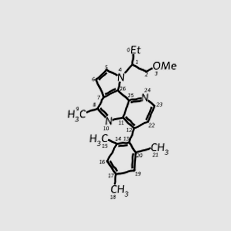 CCC(COC)n1ccc2c(C)nc3c(-c4c(C)cc(C)cc4C)ccnc3c21